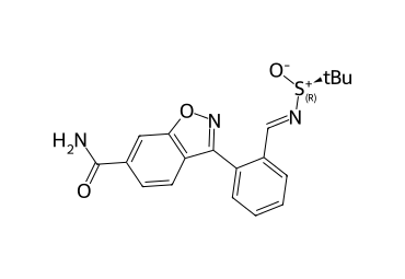 CC(C)(C)[S@+]([O-])N=Cc1ccccc1-c1noc2cc(C(N)=O)ccc12